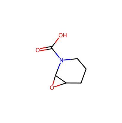 O=C(O)N1CCCC2OC21